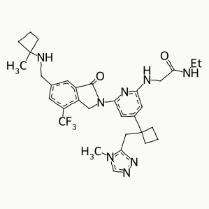 CCNC(=O)CNc1cc(C2(Cc3nncn3C)CCC2)cc(N2Cc3c(cc(CNC4(C)CCC4)cc3C(F)(F)F)C2=O)n1